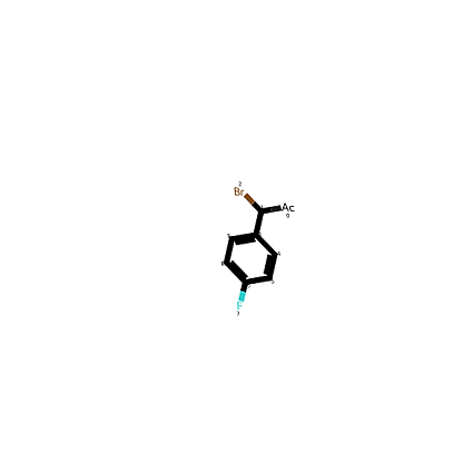 CC(=O)C(Br)c1ccc(F)cc1